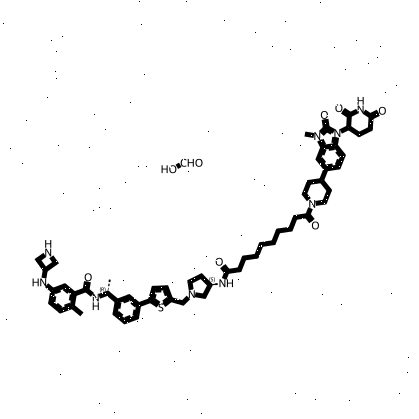 Cc1ccc(NC2CNC2)cc1C(=O)N[C@H](C)c1cccc(-c2ccc(CN3CC[C@H](NC(=O)CCCCCCCCC(=O)N4CCC(c5ccc6c(c5)n(C)c(=O)n6C5CCC(=O)NC5=O)CC4)C3)s2)c1.O=CO